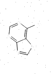 CSc1ncnc2c1NC=[N+]2